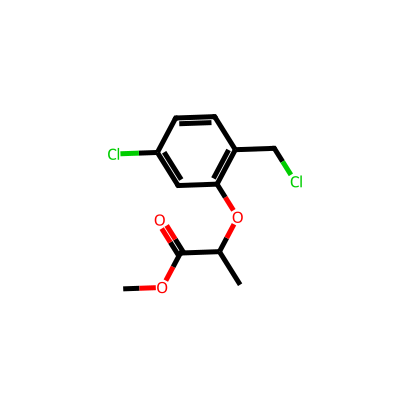 COC(=O)C(C)Oc1cc(Cl)ccc1CCl